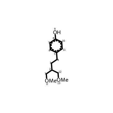 COCC(CCc1ccc(O)cc1)COC